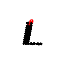 CCCCC.CCCCC.CCCCC.CCCCC.CCCCC.CCCCC.CCCCC.CCCCC.CCCCC.CCCCC.CCCCC.CCCCC.CCOC(C)=O